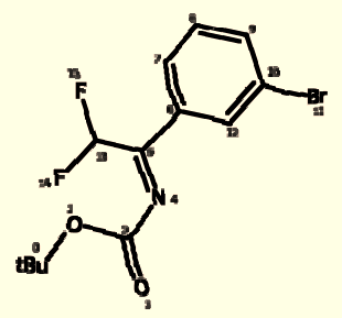 CC(C)(C)OC(=O)N=C(c1cccc(Br)c1)C(F)F